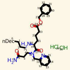 CCCCCCCCCCCCC[C@@H](CC(N)=O)N(Cc1ccccn1)C(=O)[C@@H](N)CCCC(=O)OCc1ccccc1.Cl.Cl